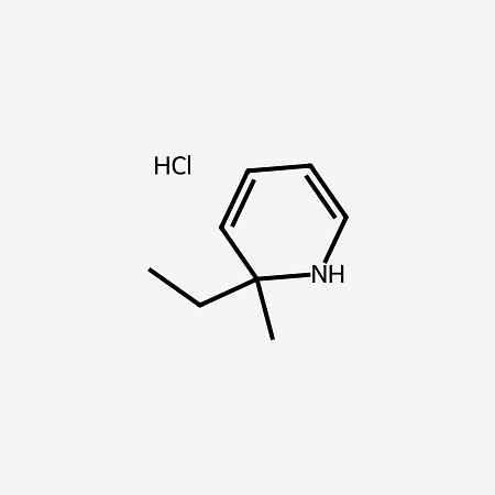 CCC1(C)C=CC=CN1.Cl